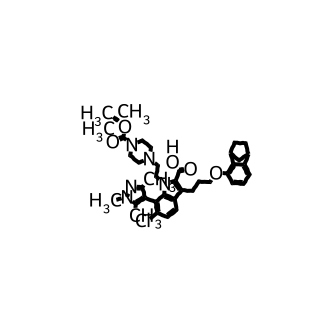 Cc1nn(C)c(C)c1-c1c(Cl)ccc2c(CCCOc3cccc4c3C3CCC4C3)c(C(=O)O)n(CCN3CCN(C(=O)OC(C)(C)C)CC3)c12